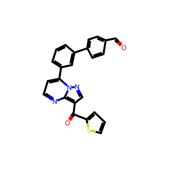 O=Cc1ccc(-c2cccc(-c3ccnc4c(C(=O)c5cccs5)cnn34)c2)cc1